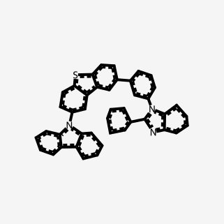 c1ccc(-c2nc3ccccc3n2-c2cccc(-c3ccc4sc5ccc(-n6c7ccccc7c7ccccc76)cc5c4c3)c2)cc1